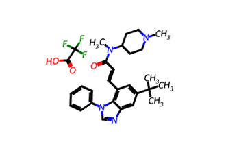 CN1CCC(N(C)C(=O)/C=C/c2cc(C(C)(C)C)cc3ncn(-c4ccccc4)c23)CC1.O=C(O)C(F)(F)F